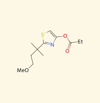 CCC(=O)Oc1csc(C(C)(C)CCOC)n1